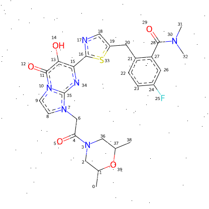 CC1CN(C(=O)Cn2ccn3c(=O)c(O)c(-c4ncc(Cc5ccc(F)cc5C(=O)N(C)C)s4)nc23)CC(C)O1